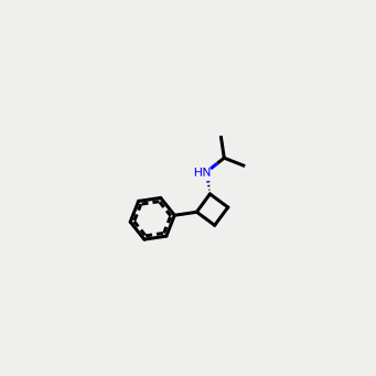 CC(C)N[C@@H]1CCC1c1ccccc1